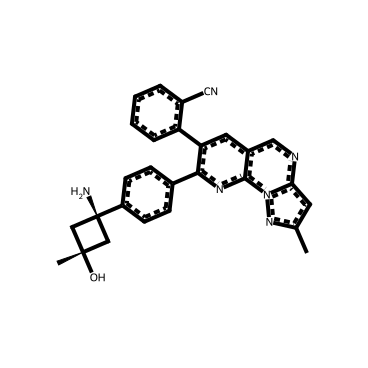 Cc1cc2ncc3cc(-c4ccccc4C#N)c(-c4ccc([C@]5(N)C[C@](C)(O)C5)cc4)nc3n2n1